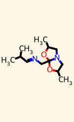 CC(C)C=NCC12OC(C)CN1CC(C)O2